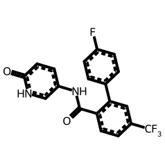 O=C(Nc1ccc(=O)[nH]c1)c1ccc(C(F)(F)F)cc1-c1ccc(F)cc1